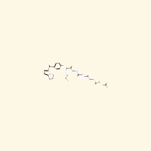 CCCNC(Oc1ccc(C(=O)c2ccc3n2CCC3)cc1)C(=O)CNC(=O)CNC(=O)CNC(=O)CSC(C)=O